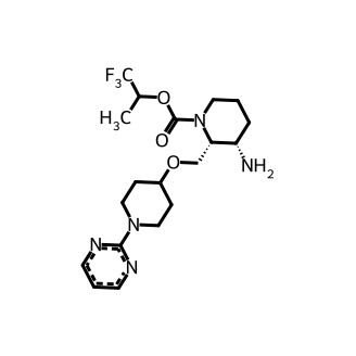 CC(OC(=O)N1CCC[C@H](N)[C@@H]1COC1CCN(c2ncccn2)CC1)C(F)(F)F